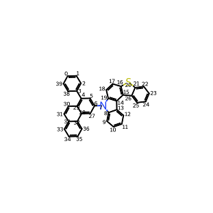 c1ccc(-c2cc(-n3c4ccccc4c4c5c(ccc43)sc3ccccc35)cc3c2ccc2ccccc23)cc1